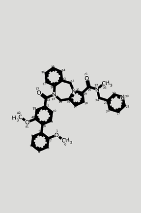 COc1ccccc1-c1ccc(C(=O)N2Cc3ccc(C(=O)N(C)Cc4cccnc4)n3Cc3ccccc32)cc1OC